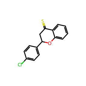 S=C1CC(c2ccc(Cl)cc2)Oc2ccccc21